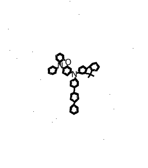 CC1(C)c2ccccc2-c2ccc(N(c3ccc(-c4ccc(-c5ccccc5)cc4)cc3)c3ccc4c(c3)Oc3ccccc3N4c3ccccc3)cc21